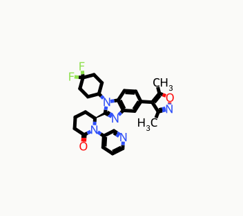 Cc1noc(C)c1-c1ccc2c(c1)nc([C@@H]1CCCC(=O)N1c1cccnc1)n2C1CCC(F)(F)CC1